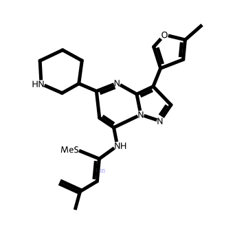 C=C(C)/C=C(/Nc1cc(C2CCCNC2)nc2c(-c3coc(C)c3)cnn12)SC